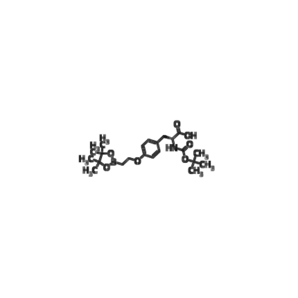 CC(C)(C)OC(=O)N[C@@H](Cc1ccc(OCCB2OC(C)(C)C(C)(C)O2)cc1)C(=O)O